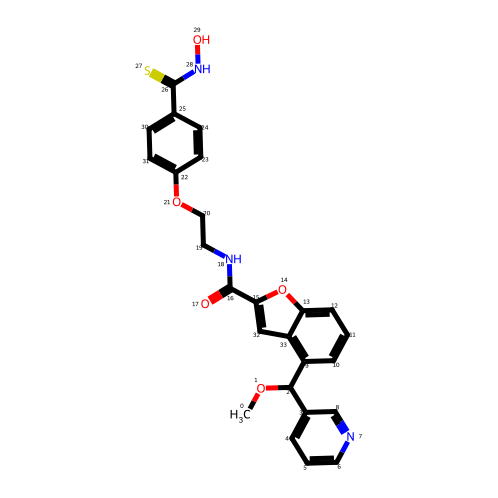 COC(c1cccnc1)c1cccc2oc(C(=O)NCCOc3ccc(C(=S)NO)cc3)cc12